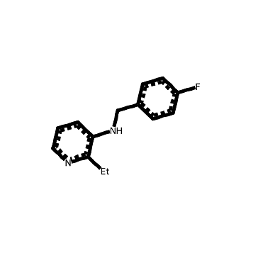 [CH2]Cc1ncccc1NCc1ccc(F)cc1